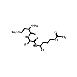 CC(=O)NC(CCC(=O)O)C(=O)NC(C(=O)NC(C)CCCNC(N)=O)C(C)C